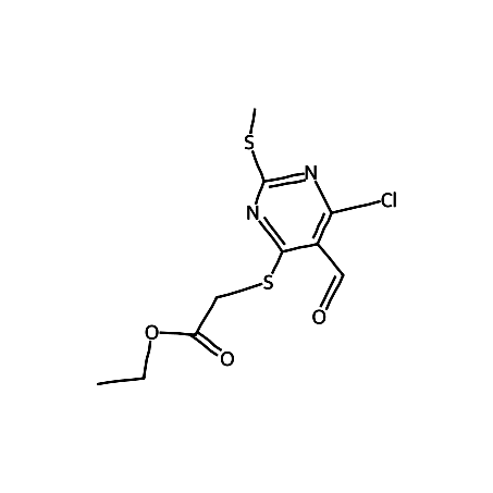 CCOC(=O)CSc1nc(SC)nc(Cl)c1C=O